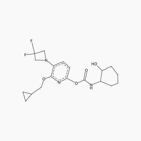 O=C(NC1CCCCC1O)Oc1ccc(N2CC(F)(F)C2)c(OCC2CC2)n1